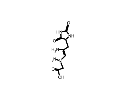 N/C(=C\N(N)CC(=O)O)CC1NC(=O)NC1=O